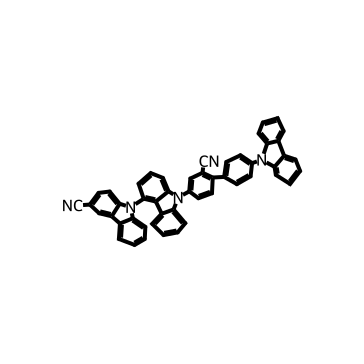 N#Cc1ccc2c(c1)c1ccccc1n2-c1cccc2c1c1ccccc1n2-c1ccc(-c2ccc(-n3c4ccccc4c4ccccc43)cc2)c(C#N)c1